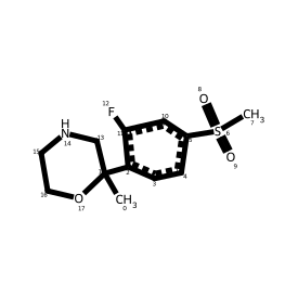 CC1(c2ccc(S(C)(=O)=O)cc2F)CNCCO1